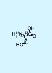 [15NH2][13C@@H]([13CH2]O)[13C](=O)O